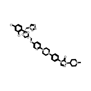 CN1CCC(n2ncn(-c3ccc(N4CCN(c5ccc(OC[C@@H]6CO[C@@](Cn7cnnn7)(c7ccc(Cl)cc7Cl)O6)cn5)CC4)cc3)c2=O)CC1